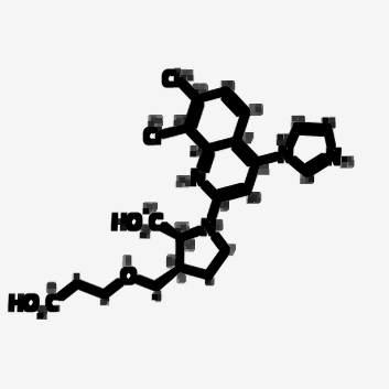 O=C(O)CCOC[C@@H]1CCN(c2cc(-n3ccnc3)c3ccc(Cl)c(Cl)c3n2)[C@@H]1C(=O)O